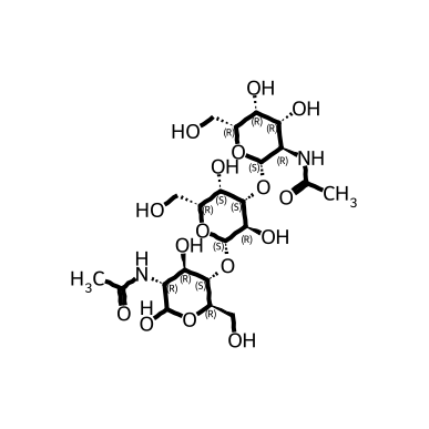 CC(=O)N[C@H]1[C@H](O[C@H]2[C@@H](O)[C@@H](CO)O[C@@H](O[C@H]3[C@H](O)[C@@H](NC(C)=O)C(O)O[C@@H]3CO)[C@@H]2O)O[C@H](CO)[C@H](O)[C@@H]1O